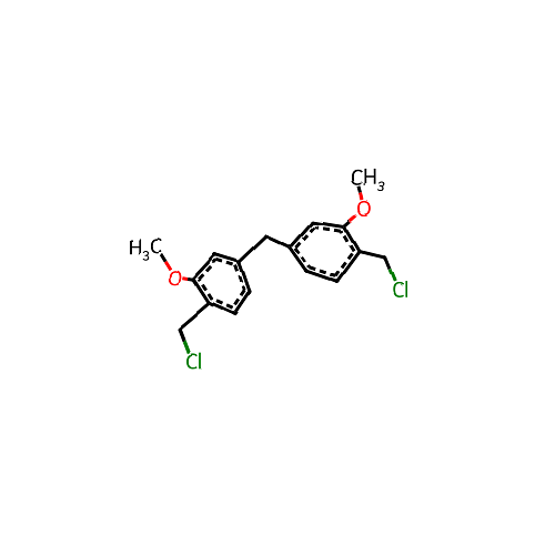 COc1cc(Cc2ccc(CCl)c(OC)c2)ccc1CCl